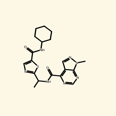 CC(NC(=O)c1ncnc2c1cnn2C)c1ncc(C(=O)NC2CCCCC2)s1